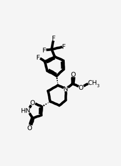 COC(=O)N1CC[C@H](c2cc(=O)[nH]o2)C[C@@H]1c1ccc(C(F)(F)F)c(F)c1